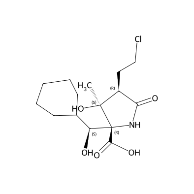 C[C@]1(O)[C@@H](CCCl)C(=O)N[C@]1(C(=O)O)[C@@H](O)C1CCCCC1